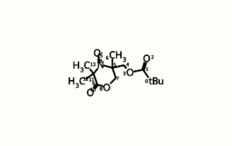 CC(C)(C)C(=O)OCC1(C)COC(=O)C(C)(C)N1[O]